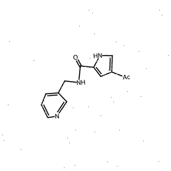 CC(=O)c1c[nH]c(C(=O)NCc2cccnc2)c1